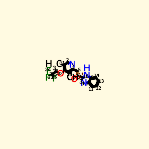 Cc1cnc(C[S@+]([O-])c2nc3ccccc3[nH]2)c(C)c1OCC(F)(F)F